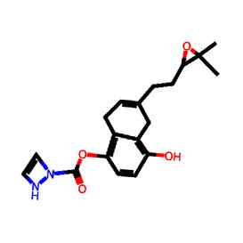 CC1(C)OC1CCC1=CCc2c(OC(=O)n3cc[nH]3)ccc(O)c2C1